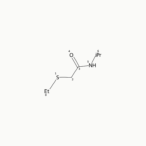 CCSCC(=O)NC(C)C